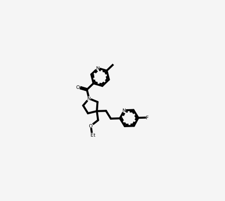 CCOCC1(CCc2ccc(F)cn2)CCN(C(=O)c2ccc(C)nc2)C1